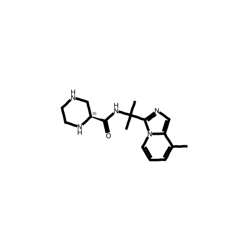 Cc1cccn2c(C(C)(C)NC(=O)[C@@H]3CNCCN3)ncc12